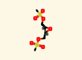 CS(=O)(=O)OC[C@@H]1O[C@@H]1COS(C)(=O)=O